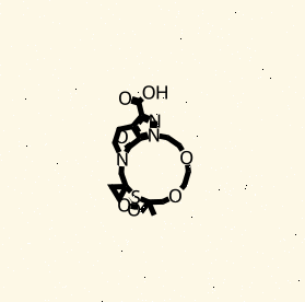 CC1(C)COCCOCCn2nc(C(=O)O)c3c2C(=O)N(CC3)CC2(CC2)S1(=O)=O